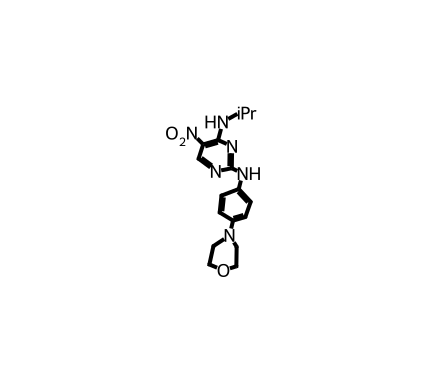 CC(C)Nc1nc(Nc2ccc(N3CCOCC3)cc2)ncc1[N+](=O)[O-]